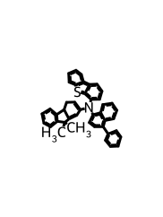 CC1(C)C2=CC(N(c3ccc(-c4ccccc4)c4ccccc34)c3cccc4c3sc3ccccc34)=CCC2c2ccccc21